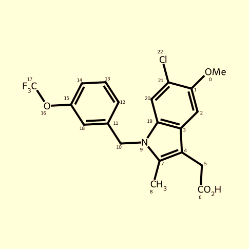 COc1cc2c(CC(=O)O)c(C)n(Cc3cccc(OC(F)(F)F)c3)c2cc1Cl